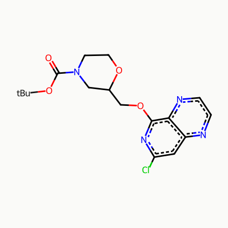 CC(C)(C)OC(=O)N1CCOC(COc2nc(Cl)cc3nccnc23)C1